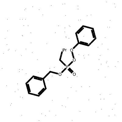 CC(C)CP(=O)(OCc1ccccc1)OOc1ccccc1